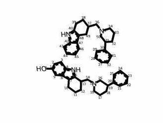 Oc1ccc2[nH]c3c(c2c1)CCCC3CN1CCCC(c2ccccc2)C1.c1ccc(C2CCCN(CC3CCc4[nH]c5ccccc5c4C3)C2)cc1